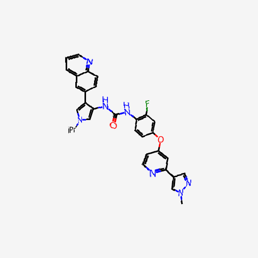 CC(C)n1cc(NC(=O)Nc2ccc(Oc3ccnc(-c4cnn(C)c4)c3)cc2F)c(-c2ccc3ncccc3c2)c1